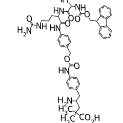 CC(C)C(NC(=O)OCC1c2ccccc2-c2ccccc21)C(=O)NC(CCCNC(N)=O)C(=O)Nc1ccc(COC(=O)Nc2ccc(CC(N)CC(C)(C)C(=O)O)cc2)cc1